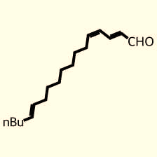 CCCCC=CCCCCCCC/C=C\C=CC=O